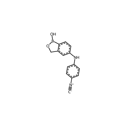 [C-]#[N+]c1ccc(Nc2ccc3c(c2)COB3O)cc1